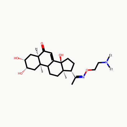 CCN(CC)CCO/N=C(/C)[C@H]1CC[C@@]2(O)C3=CC(=O)[C@@H]4C[C@@H](O)[C@@H](O)C[C@]4(C)C3CC[C@]12C